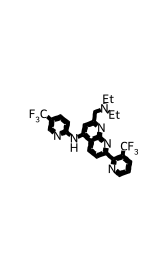 CCN(CC)Cc1cc(Nc2ccc(C(F)(F)F)cn2)c2ccc(-c3ncccc3C(F)(F)F)nc2n1